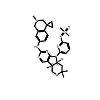 CN1Cc2cc(Nc3ncc4c(n3)N(c3cccc(N=S(C)(C)=O)n3)[C@@H]3CC(C)(C)OC[C@]43C)ccc2C2(CC2)C1